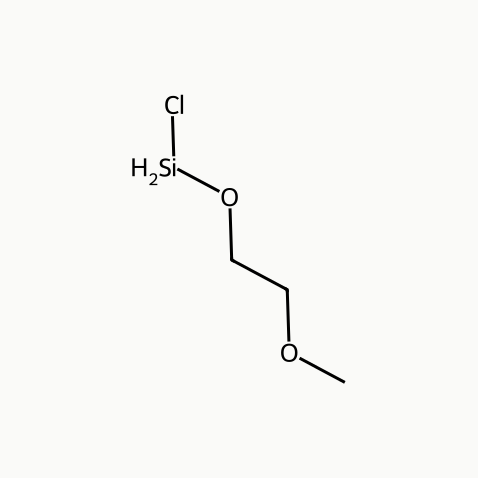 COCCO[SiH2]Cl